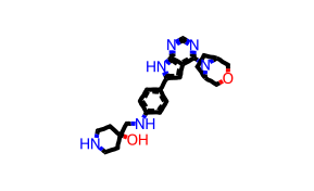 OC1(CNc2ccc(-c3cc4c(N5C6CCC5COC6)ncnc4[nH]3)cc2)CCNCC1